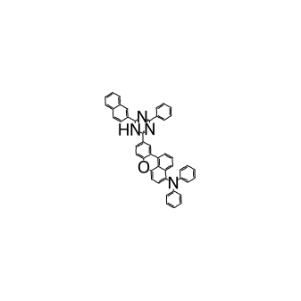 c1ccc(C2=NC(c3ccc4ccccc4c3)NC(c3ccc4c(c3)-c3cccc5c(N(c6ccccc6)c6ccccc6)ccc(c35)O4)=N2)cc1